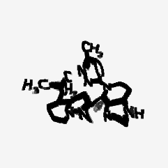 Cc1nnc(N2CCc3[nH]cnc3[C@H]2c2cc3c(C(C)C)cccn3n2)o1